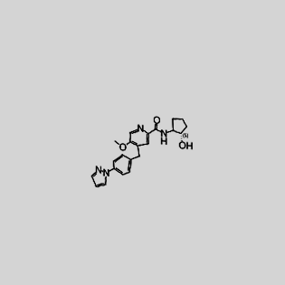 COc1cnc(C(=O)NC2CCC[C@@H]2O)cc1Cc1ccc(-n2cccn2)cc1